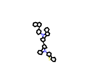 c1cc(-c2cccc3ccccc23)cc(-n2c3ccc(-c4ccc5c(c4)c4ccccc4n5-c4ccc5c(c4)sc4ccccc45)cc3c3ccc4ccccc4c32)c1